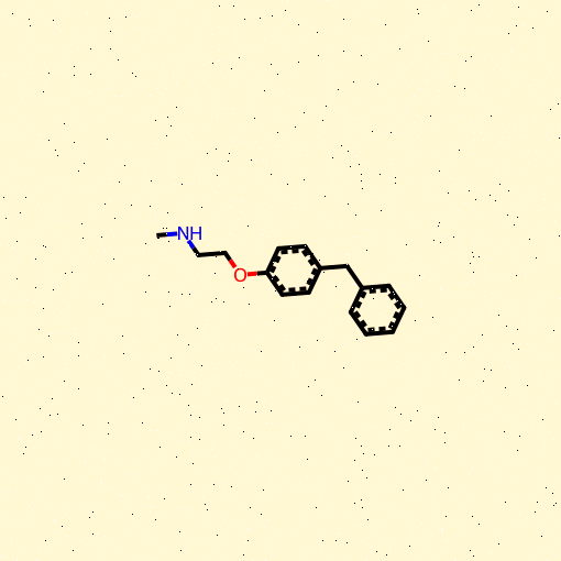 CNCCOc1ccc(Cc2ccccc2)cc1